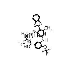 Cc1nc(Nc2ccccc2OC(F)(F)F)nc(NC(C)C[C@H](CO)[C@H](C)O)c1-c1nc2ccccc2s1